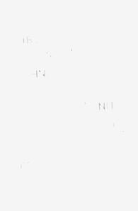 CC(C)(C)[S+]([O-])NC(c1ccc(Cl)cc1)C1(ONC(=O)O)CC1